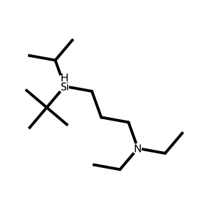 CCN(CC)CCC[SiH](C(C)C)C(C)(C)C